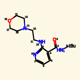 CC(C)(C)NC(=O)c1cccnc1NCCN1CCOCC1